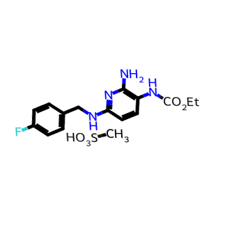 CCOC(=O)Nc1ccc(NCc2ccc(F)cc2)nc1N.CS(=O)(=O)O